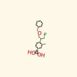 Cc1cc(B(O)O)ccc1C(CF)COCc1ccccc1